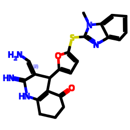 Cn1c(Sc2ccc(C3C4=C(CCCC4=O)NC(=N)/C3=C\N)o2)nc2ccccc21